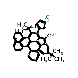 CC(C)(C)c1ccc2c(c1)=[C]([Zr+2])c1c(C3=CC=CC3)c(C(C)(C)C)c(-c3ccccc3)c(=C(c3ccccc3)c3ccccc3)c1=2.[Cl-].[Cl-]